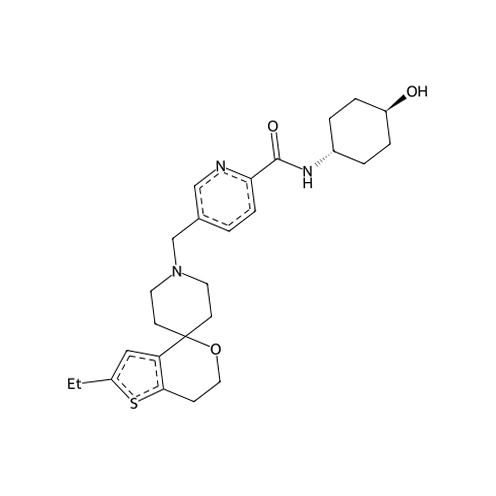 CCc1cc2c(s1)CCOC21CCN(Cc2ccc(C(=O)N[C@H]3CC[C@H](O)CC3)nc2)CC1